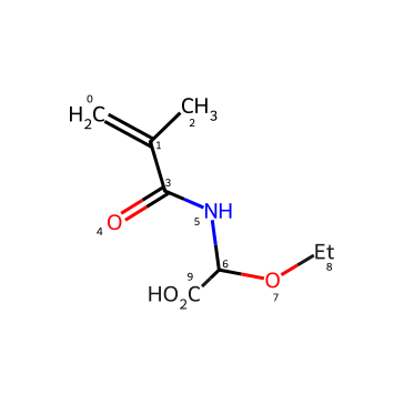 C=C(C)C(=O)NC(OCC)C(=O)O